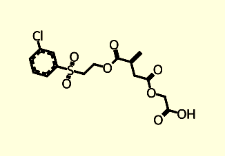 C=C(CC(=O)OCC(=O)O)C(=O)OCCS(=O)(=O)c1cccc(Cl)c1